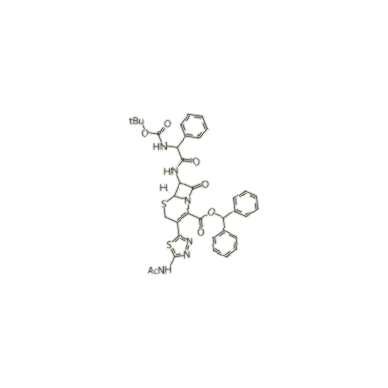 CC(=O)Nc1nnc(C2=C(C(=O)OC(c3ccccc3)c3ccccc3)N3C(=O)C(NC(=O)C(NC(=O)OC(C)(C)C)c4ccccc4)[C@@H]3SC2)s1